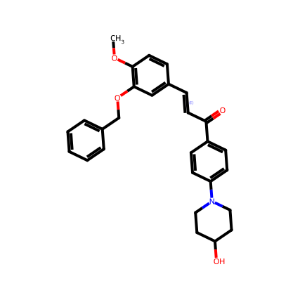 COc1ccc(/C=C/C(=O)c2ccc(N3CCC(O)CC3)cc2)cc1OCc1ccccc1